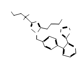 CCCCc1nc(C(F)(F)CCC)nn1Cc1ccc(-c2cccnc2-c2nnn[nH]2)cc1